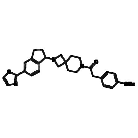 COc1ccc(CC(=O)N2CCC3(CC2)CN(C2CCc4cc(-c5ncco5)ccc42)C3)cc1